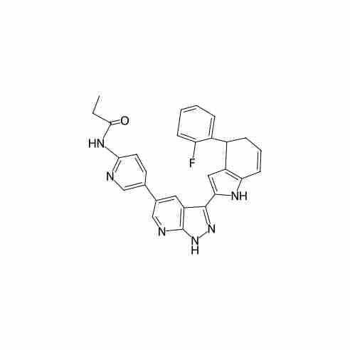 CCC(=O)Nc1ccc(-c2cnc3[nH]nc(-c4cc5c([nH]4)C=CCC5c4ccccc4F)c3c2)cn1